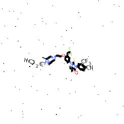 C[C@H]1CN(CCOc2ccc(N3C(=S)N(c4ccc(C#N)c(C(F)(F)F)c4)C(=O)C3(C)C)cc2CC(F)F)CCN1C(=O)O